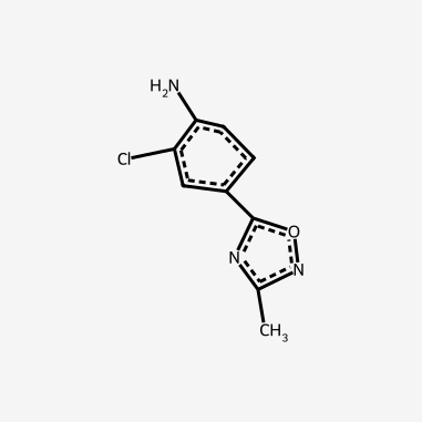 Cc1noc(-c2ccc(N)c(Cl)c2)n1